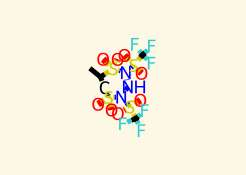 CC1CS(=O)(=O)N(S(=O)(=O)C(F)(F)F)NN(S(=O)(=O)C(F)(F)F)S1(=O)=O